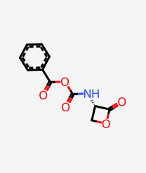 O=C(N[C@H]1COC1=O)OC(=O)c1ccccc1